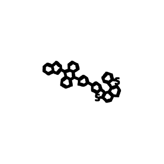 c1ccc2cc(-c3c4ccccc4c(-c4ccc(-c5ccc6c(c5)sc5ccc7ccc8sc9ccccc9c8c7c56)cc4)c4ccccc34)ccc2c1